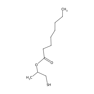 CCCCCCCC(=O)OC(C)CS